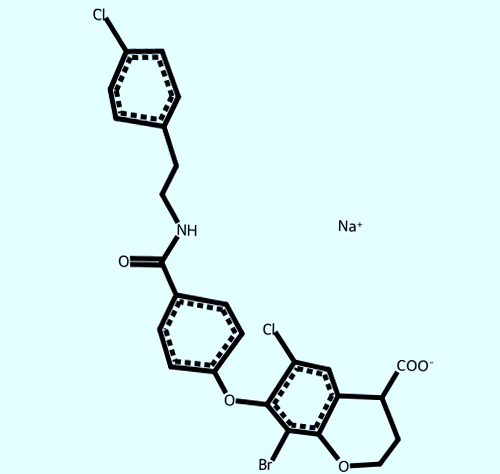 O=C(NCCc1ccc(Cl)cc1)c1ccc(Oc2c(Cl)cc3c(c2Br)OCCC3C(=O)[O-])cc1.[Na+]